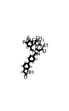 CCN1C(=O)c2nc(-c3ccc(-c4ccc5c(c4)NC(=O)C5)cc3)n(Cc3ccc(F)c(F)c3)c2N2CC(C)(C)N=C12